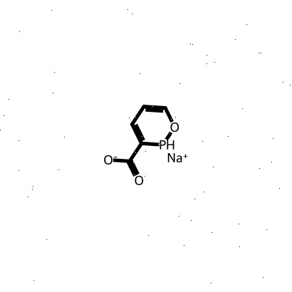 O=C([O-])C1=CC=COP1.[Na+]